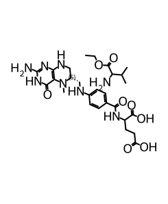 CCOC(=O)C(N)C(C)C.CN1c2c(nc(N)[nH]c2=O)NC[C@@H]1CNc1ccc(C(=O)NC(CCC(=O)O)C(=O)O)cc1